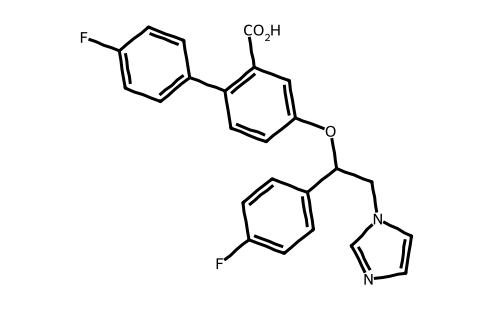 O=C(O)c1cc(OC(Cn2ccnc2)c2ccc(F)cc2)ccc1-c1ccc(F)cc1